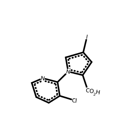 O=C(O)c1cc(I)cn1-c1ncccc1Cl